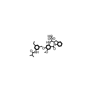 CCc1cc(COc2cc3c(cc2OC)C(=O)N2c4ccccc4CC2C(S(=O)(=O)O)N3)cc(NC(=O)C(C)C)c1